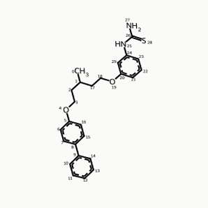 CC(CCOc1ccc(-c2ccccc2)cc1)CCOc1cccc(NC(N)=S)c1